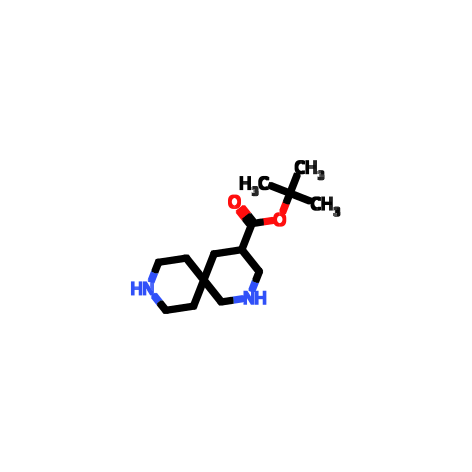 CC(C)(C)OC(=O)C1CNCC2(CCNCC2)C1